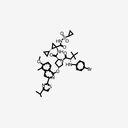 COc1ccc2c(O[C@@H]3C[C@@H](C(=O)N[C@]4(C(=O)NS(=O)(=O)C5CC5)C[C@H]4C4CC4)N(C(=O)[C@@H](Nc4ccc(Br)cc4)C(C)(C)C)C3)nc(-c3nc(C(C)C)cs3)cc2c1C